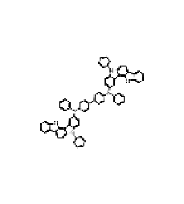 c1ccc(N(c2ccc(-c3ccc(N(c4ccccc4)c4ccc5c(c4)c4c6oc7ccccc7c6ccc4n5-c4ccccc4)cc3)cc2)c2ccc3c(c2)c2c4oc5ccccc5c4ccc2n3-c2ccccc2)cc1